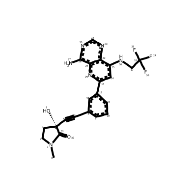 CN1CC[C@@](O)(C#Cc2cccc(-c3cc(NCC(F)(F)F)c4ncnc(N)c4n3)c2)C1=O